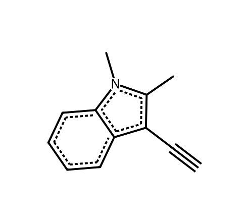 C#Cc1c(C)n(C)c2ccccc12